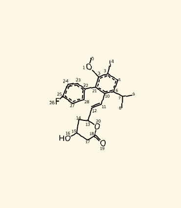 COc1c(I)cc(C(C)C)c(C=CC2CC(O)CC(=O)O2)c1-c1ccc(F)cc1